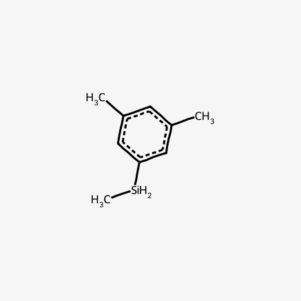 C[SiH2]c1cc(C)cc(C)c1